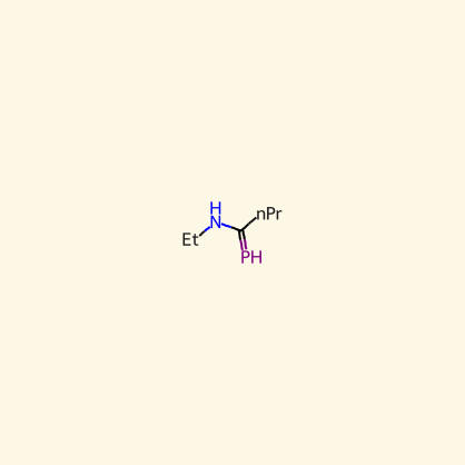 CCCC(=P)NCC